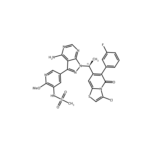 COc1ncc(-c2nn([C@@H](C)c3cc4scc(Cl)n4c(=O)c3-c3cccc(F)c3)c3ncnc(N)c23)cc1NS(C)(=O)=O